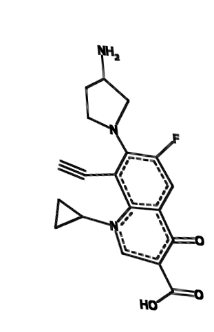 C#Cc1c(N2CCC(N)C2)c(F)cc2c(=O)c(C(=O)O)cn(C3CC3)c12